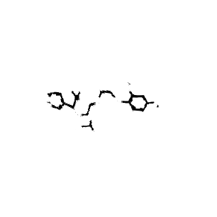 COc1ccc(NC[C@H](C)NC(=O)[C@H](CC(C)C)N[C@@H](c2cccnc2)C(F)(F)F)c(OC)c1